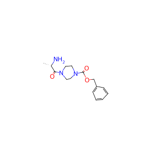 C[C@H](N)C(=O)N1CCN(C(=O)OCc2ccccc2)CC1